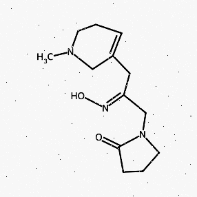 CN1CCC=C(CC(CN2CCCC2=O)=NO)C1